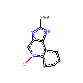 CCCCCc1nc2c[n+]([O-])c3ccccc3c2[nH]1